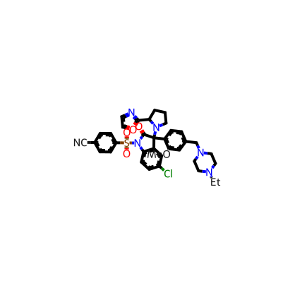 CCN1CCN(Cc2ccc(C3(N4CCCC4c4ncco4)C(=O)N(S(=O)(=O)c4ccc(C#N)cc4)c4ccc(Cl)cc43)c(OC)c2)CC1